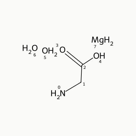 NCC(=O)O.O.O.[MgH2]